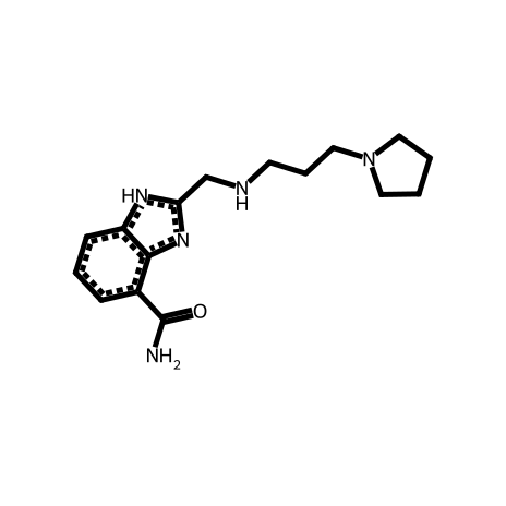 NC(=O)c1cccc2[nH]c(CNCCCN3CCCC3)nc12